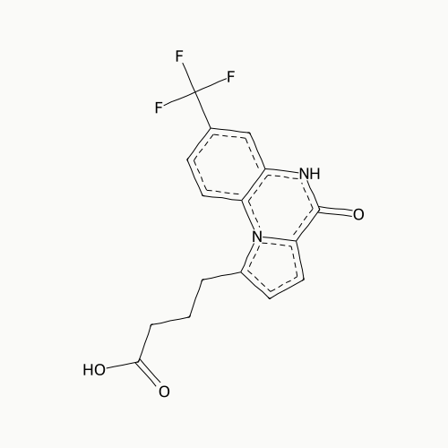 O=C(O)CCCc1ccc2c(=O)[nH]c3cc(C(F)(F)F)ccc3n12